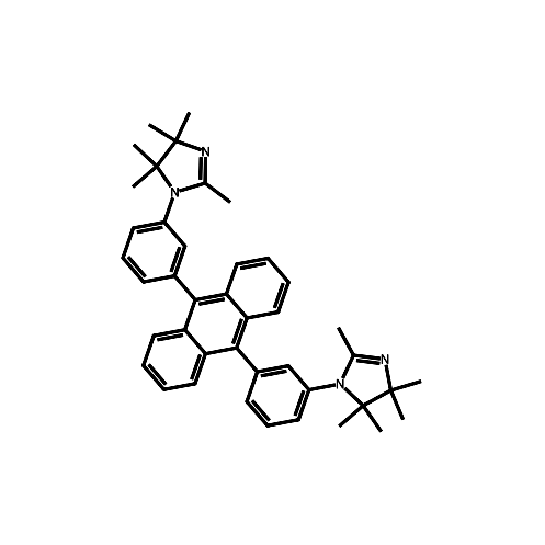 CC1=NC(C)(C)C(C)(C)N1c1cccc(-c2c3ccccc3c(-c3cccc(N4C(C)=NC(C)(C)C4(C)C)c3)c3ccccc23)c1